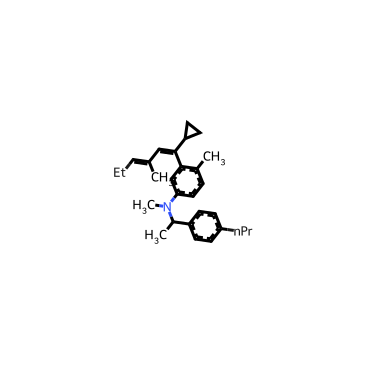 CC/C=C(C)/C=C(\c1cc(N(C)C(C)c2ccc(CCC)cc2)ccc1C)C1CC1